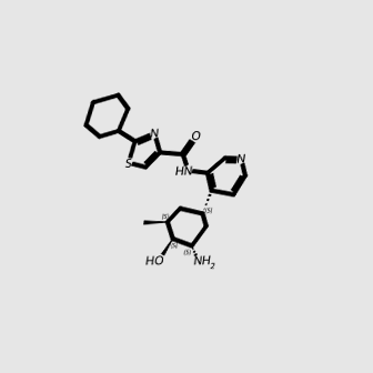 C[C@H]1C[C@H](c2ccncc2NC(=O)c2csc(C3CCCCC3)n2)C[C@H](N)[C@H]1O